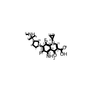 CNC(C)(C)[C@@H]1CCN(c2c(F)c(N)c3c(=O)c(C(=O)O)cn(C4CC4)c3c2F)C1